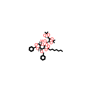 CCCCCCCC(=O)O[C@@H]1[C@H](OC(O)[C@@H]2OC(C)(C)O[C@@H]2[C@@H]2COC(C)(C)O2)O[C@@H]2COC(c3ccccc3)O[C@H]2[C@@H]1OCc1ccccc1